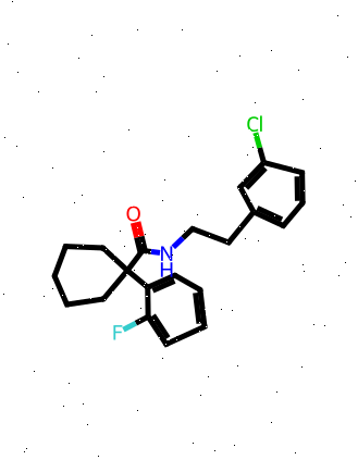 O=C(NCCc1cccc(Cl)c1)C1(c2ccccc2F)CCCCC1